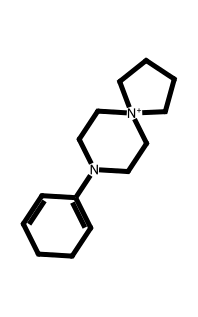 C1=CC(N2CC[N+]3(CCCC3)CC2)=CCC1